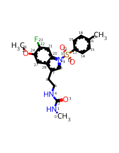 CNC(=O)NCCc1cn(S(=O)(=O)c2ccc(C)cc2)c2cc(F)c(OC)cc12